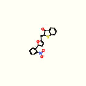 O=C1C(=Cc2ccc(-c3ccccc3[N+](=O)[O-])o2)Sc2ccccc21